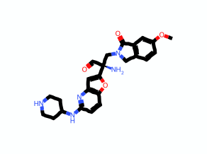 COc1ccc2c(c1)C(=O)N(C[C@@](N)(C=O)c1cc3nc(NC4CCNCC4)ccc3o1)C2